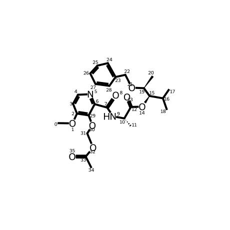 COc1ccnc(C(=O)N[C@@H](C)C(=O)O[C@H](C(C)C)[C@H](C)OCc2ccccc2)c1OCOC(C)=O